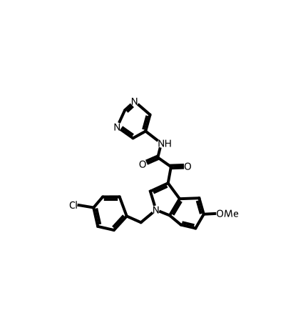 COc1ccc2c(c1)c(C(=O)C(=O)Nc1cncnc1)cn2Cc1ccc(Cl)cc1